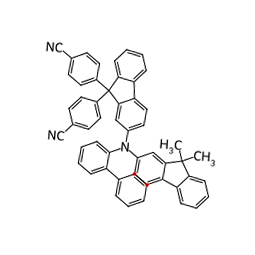 CC1(C)c2ccccc2-c2ccc(N(c3ccc4c(c3)C(c3ccc(C#N)cc3)(c3ccc(C#N)cc3)c3ccccc3-4)c3ccccc3-c3ccccc3)cc21